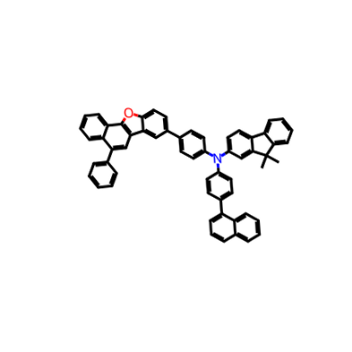 CC1(C)c2ccccc2-c2ccc(N(c3ccc(-c4ccc5oc6c7ccccc7c(-c7ccccc7)cc6c5c4)cc3)c3ccc(-c4cccc5ccccc45)cc3)cc21